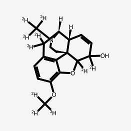 [2H]C([2H])([2H])Oc1ccc2c3c1OC1([2H])C([2H])(O)C=C[C@H]4[C@H](N(C([2H])([2H])[2H])CC[C@@]341)C2([2H])[2H]